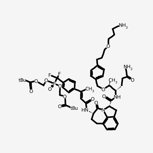 C/C(=C\C(=O)N[C@H]1CCc2cccc3c2N(C1=O)[C@H](C(=O)N[C@@H](CCC(N)=O)[C@@H](C)OCc1ccc(CCCOCCCN)cc1)C3)c1ccc(C(F)(F)P(=O)(OCOC(=O)C(C)(C)C)OCOC(=O)C(C)(C)C)cc1